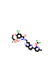 Cc1ccc(-c2ccc3cnc(CNC(=O)c4cc(Cl)c5c(c4)S(=O)(=O)[C@@H](F)CCO5)cc3n2)c(OC(F)F)n1